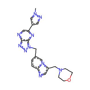 Cn1cc(-c2cnc3nnn(Cc4ccc5ncc(CN6CCOCC6)n5c4)c3n2)cn1